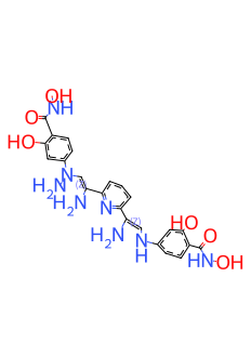 N/C(=C\Nc1ccc(C(=O)NO)c(O)c1)c1cccc(/C(N)=C/N(N)c2ccc(C(=O)NO)c(O)c2)n1